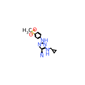 CS(=O)(=O)c1ccc(Nc2ncc(C#N)c(NCC3CC3)n2)cc1